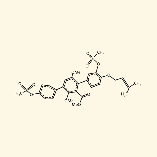 COC(=O)c1c(OC)c(-c2ccc(OS(C)(=O)=O)cc2)cc(OC)c1-c1ccc(OCC=C(C)C)c(OS(C)(=O)=O)c1